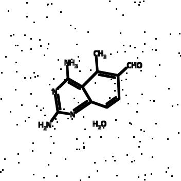 Cc1c(C=O)ccc2nc(N)nc(N)c12.O